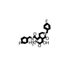 Cn1c(C(=O)NCc2ccc(F)cc2)c2c(c(O)c1=O)C(=O)N(Cc1ccc(F)cc1)CC2